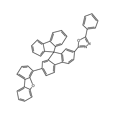 c1ccc(-c2nnc(-c3ccc4c(c3)C3(c5ccccc5-c5ccccc53)c3cc(-c5cccc6c5oc5ccccc56)ccc3-4)o2)cc1